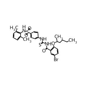 CCCCC(C)Oc1ccc(Br)cc1C(=O)NC(=S)Nc1ccc(S(=O)(=O)Nc2c(C)cccc2C)cc1